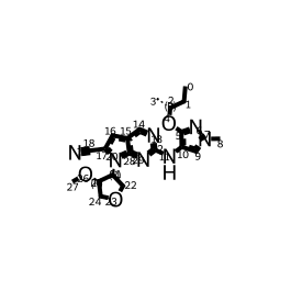 CC[C@@H](C)Oc1nn(C)cc1Nc1ncc2cc(C#N)n([C@@H]3COC[C@@H]3OC)c2n1